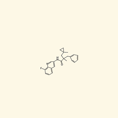 CC1(CC(C)(Cc2ccccc2)C(=O)Nc2cnc3c(F)cccc3c2)CC1